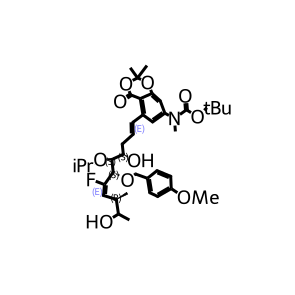 COc1ccc(CO[C@H](/C(F)=C\[C@@H](C)C(C)O)[C@@H](OC(C)C)[C@@H](O)C/C=C/c2cc(N(C)C(=O)OC(C)(C)C)cc3c2C(=O)OC(C)(C)O3)cc1